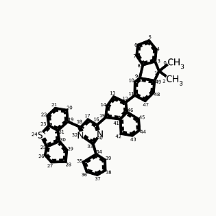 CC1(C)c2ccccc2-c2cc(-c3ccc(-c4cc(-c5cccc6sc7ccccc7c56)nc(-c5ccccc5)n4)c4ccccc34)ccc21